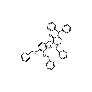 CC1(Cc2ccc(OCc3ccccc3)c(OCc3ccccc3)c2)C(=O)N(C(c2ccccc2)c2ccccc2)CCN1Cc1ccccc1